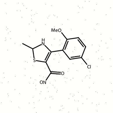 COc1ccc(Cl)cc1C1=C(C(=O)N=O)SC(C)N1